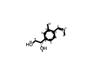 C/N=C\c1ccc([C@H](O)CO)cc1C